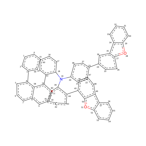 c1ccc(-c2cccc3cccc(-c4ccccc4N(c4ccc(-c5ccc6oc7ccccc7c6c5)cc4)c4ccccc4-c4cccc5c4oc4ccccc45)c23)cc1